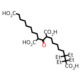 CCC(CC)(CCCCCC(C(=O)O)C(=O)C(CCCCCCCC(=O)O)C(=O)O)C(CC)(CC)C(=O)O